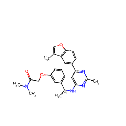 Cc1nc(N[C@@H](C)c2cccc(OCC(=O)N(C)C)c2)cc(-c2ccc3occ(C)c3c2)n1